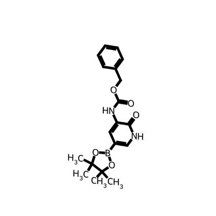 CC1(C)OB(c2c[nH]c(=O)c(NC(=O)OCc3ccccc3)c2)OC1(C)C